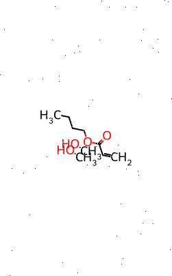 C=CC(=O)OCCCC.CO.CO